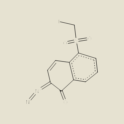 [N-]=[N+]=C1C=Cc2c(cccc2S(=O)(=O)CI)C1=O